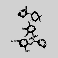 COc1ccc(CN(c2ccncn2)S(=O)(=O)c2ccc(O[C@H]3CC(F)(F)CC[C@@H]3c3ccnn3C)c(F)c2F)c(OC)c1